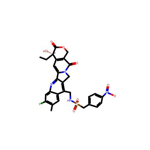 CC[C@@]1(O)C(=O)OCc2c1cc1n(c2=O)Cc2c-1nc1cc(F)c(C)cc1c2CNS(=O)(=O)Cc1ccc([N+](=O)[O-])cc1